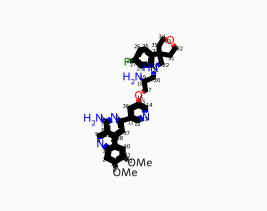 COc1cc2ncc3c(N)nc(-c4cncc(OC[C@@H](N)CNCC5(c6ccc(F)cc6)CCOCC5)c4)cc3c2cc1OC